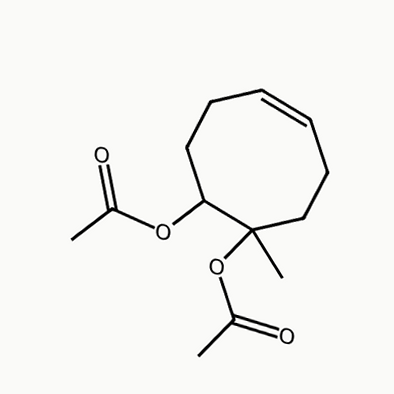 CC(=O)OC1CCC=CCCC1(C)OC(C)=O